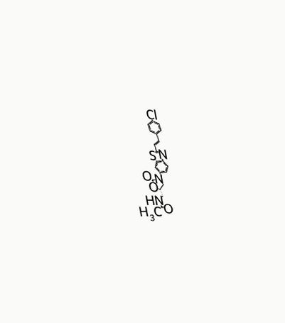 CC(=O)NC[C@H]1CN(c2ccc3nc(C=Cc4ccc(Cl)cc4)sc3c2)C(=O)O1